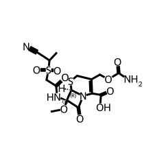 CO[C@@]1(NC(=O)CS(=O)(=O)C(C)C#N)C(=O)N2C(C(=O)O)=C(COC(N)=O)CS[C@@H]21